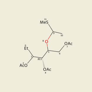 CCC(OC(C)=O)[C@@H](OC(C)=O)C(COC(C)=O)OC(C)SC